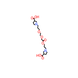 O=C(COCCOCCCN1CCC(C(=O)O)C1)OCCCN1CCC(C(=O)O)C1